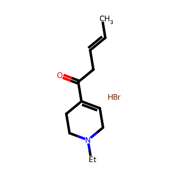 Br.CC=CCC(=O)C1=CCN(CC)CC1